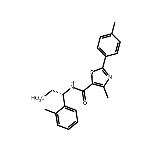 Cc1ccc(-c2nc(C)c(C(=O)N[C@@H](CC(=O)O)c3ccccc3C)s2)cc1